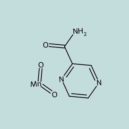 NC(=O)c1cnccn1.[O]=[Mn]=[O]